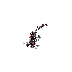 CCOCC(=O)NCCOCCOCCOCCNC(=O)[C@H](CS)NC(=O)[C@H](Cc1ccccc1)NC(=O)[C@H](CSC(C)(C)C)NC(=O)[C@H](CC(=O)O)NC(=O)CNC(=O)[C@H](CCCNC(=N)N)NC(=O)[C@H](CSC(C)(C)C)NC(=O)[C@H](CCCCN)NC(=O)CCl